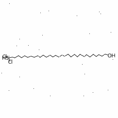 OCCCCCCCCCCCCCCCCCCCCCCCCCCCCCCC[SiH](Cl)Cl